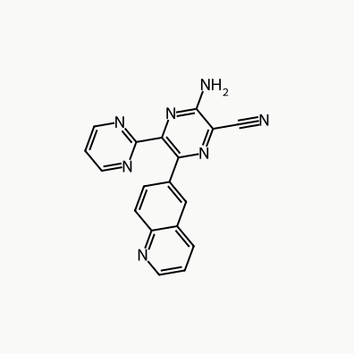 N#Cc1nc(-c2ccc3ncccc3c2)c(-c2ncccn2)nc1N